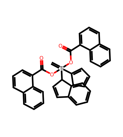 [CH2]=[Ti]([O]C(=O)c1cccc2ccccc12)([O]C(=O)c1cccc2ccccc12)([C]1=CC=CC1)[CH]1C=Cc2ccccc21